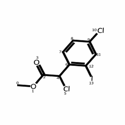 COC(=O)C(Cl)c1ccc(Cl)cc1I